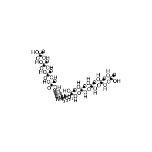 N.N.N.N.N.N.N.O=S(=O)(O)O.O=S(=O)(O)O.O=S(=O)(O)O.O=S(=O)(O)O.O=S(=O)(O)O.O=S(=O)(O)O.O=S(=O)(O)O.O=S(=O)(O)O.O=S(=O)(O)O